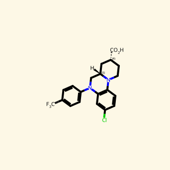 O=C(O)[C@@H]1CCN2c3ccc(Cl)cc3N(c3ccc(C(F)(F)F)cc3)C[C@@H]2C1